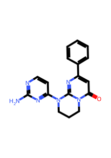 Nc1nccc(N2CCCn3c2nc(-c2ccccc2)cc3=O)n1